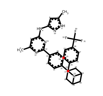 Cc1cc(Nc2cc(C)[nH]n2)nc(-c2ccc(N3CC4CC(C3)N4Cc3ccc(C(F)(F)F)cc3)nc2)n1